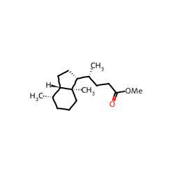 COC(=O)CC[C@@H](C)[C@H]1CC[C@H]2[C@@H](C)CCC[C@]12C